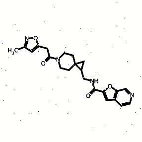 Cc1cc(CC(=O)N2CCC3(CC2)CC3CNC(=O)c2cc3ccncc3o2)on1